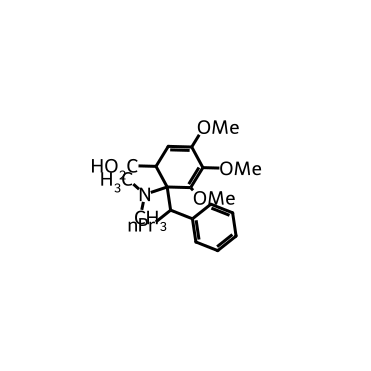 CCCC(c1ccccc1)C1(N(C)C)C(OC)=C(OC)C(OC)=CC1C(=O)O